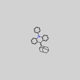 c1ccc(N2c3ccccc3C(=C3C4CC5CC(C4)CC3C5)c3ccccc32)cc1